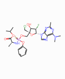 Cc1nc(N(C)C)c2ncn([C@@H]3O[C@](CCl)(CO[P@](=S)(N[C@@H](C)C(=O)OC(C)C)Oc4ccccc4)[C@@H](O)[C@H]3F)c2n1